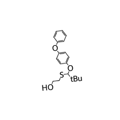 CC(C)(C)C(Oc1ccc(Oc2ccccc2)cc1)SCCO